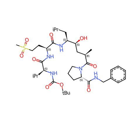 CC(C)C[C@H](NC(=O)[C@H](CCS(C)(=O)=O)NC(=O)[C@@H](NC(=O)OC(C)(C)C)C(C)C)[C@@H](O)C[C@@H](C)C(=O)N1CCC[C@H]1C(=O)NCc1ccccc1